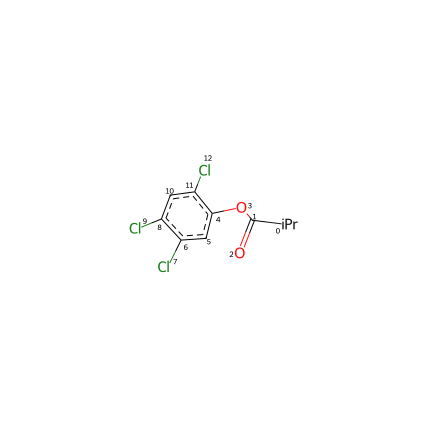 CC(C)C(=O)Oc1cc(Cl)c(Cl)cc1Cl